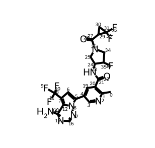 Cc1ncc(-c2cc(C(F)(F)F)c3c(N)ncnn23)cc1C(=O)NC1CN(C(=O)C2CC2(F)F)CC1F